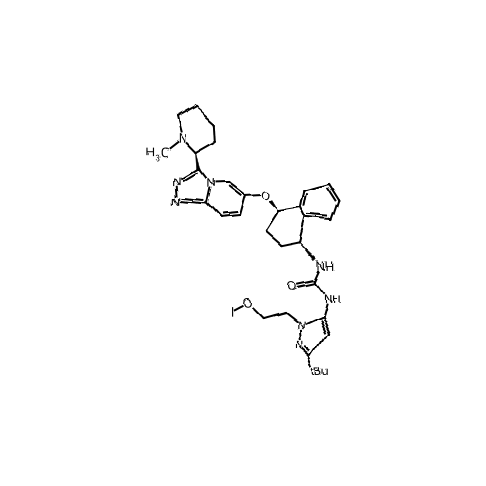 CN1CCCC[C@H]1c1nnc2ccc(O[C@@H]3CC[C@H](NC(=O)Nc4cc(C(C)(C)C)nn4CCOI)c4ccccc43)cn12